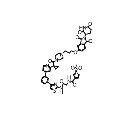 CS(=O)(=O)n1ccc(C(=O)NCC(=O)Nc2nc(-c3cccc(-c4ccnc(C5(C(=O)N6CCN(CCCOc7ccc8c(c7)C(=O)N(C7CCC(=O)NC7=O)C8=O)CC6)CC5)c4)c3)cs2)c1